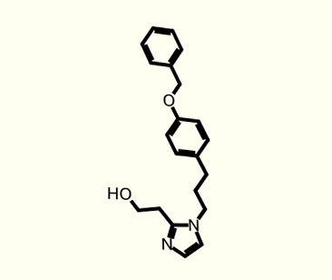 OCCc1nccn1CCCc1ccc(OCc2ccccc2)cc1